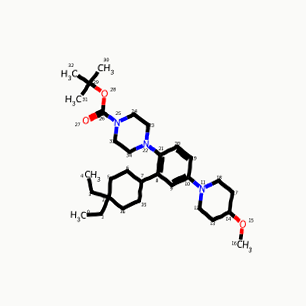 CCC1(CC)CCC(c2cc(N3CCC(OC)CC3)ccc2N2CCN(C(=O)OC(C)(C)C)CC2)CC1